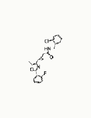 Cc1oc(-c2ccccc2F)nc1CSCC(=O)NCc1ccccc1Cl